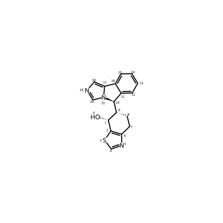 O[C@H]1c2scnc2CC[C@H]1[C@@H]1c2ccccc2-c2cncn21